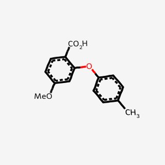 COc1ccc(C(=O)O)c(Oc2ccc(C)cc2)c1